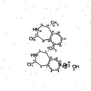 C[C@H]1CNC(Cl)Cc2ccccc21.C[C@H]1CNC(Cl)Cc2ccccc21.Cl.Cl.O